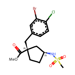 COC(=O)[C@@]1(Cc2ccc(Cl)c(Br)c2)CC[C@H](NS(C)(=O)=O)C1